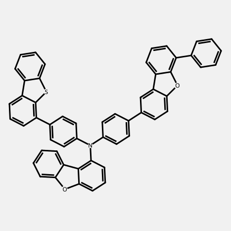 c1ccc(-c2cccc3c2oc2ccc(-c4ccc(N(c5ccc(-c6cccc7c6sc6ccccc67)cc5)c5cccc6oc7ccccc7c56)cc4)cc23)cc1